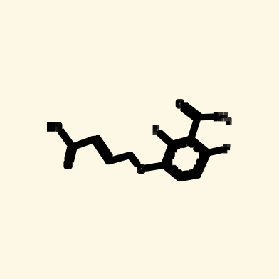 NC(=O)c1c(F)ccc(OCC=CC(=O)O)c1F